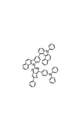 c1ccc(-c2cc3nc(-n4c5ccc(-c6cccc7c6c6c8ccccc8ccc6n7-c6ccccc6)cc5c5ccc6ccccc6c54)nc(-c4ccc(N(c5ccccc5)c5ccccc5)cc4)c3s2)cc1